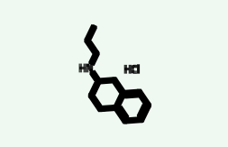 CCCNC1CCc2ccccc2C1.Cl